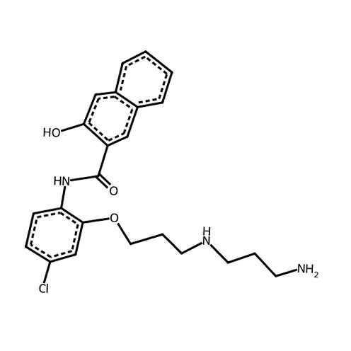 NCCCNCCCOc1cc(Cl)ccc1NC(=O)c1cc2ccccc2cc1O